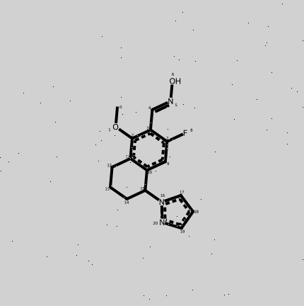 COc1c(C=NO)c(F)cc2c1CCCC2n1cccn1